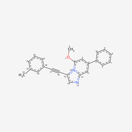 COc1cc(-c2ccccc2)cc2ncc(C#Cc3cccc(C)c3)n12